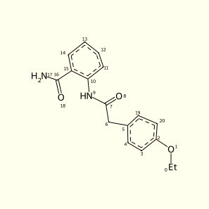 CCOc1ccc(CC(=O)Nc2ccccc2C(N)=O)cc1